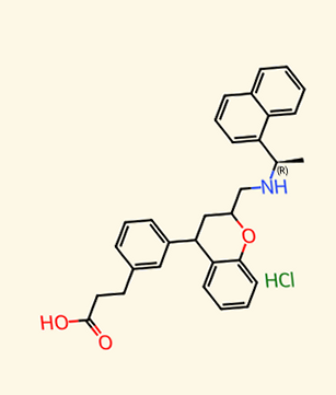 C[C@@H](NCC1CC(c2cccc(CCC(=O)O)c2)c2ccccc2O1)c1cccc2ccccc12.Cl